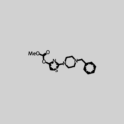 COC(=O)Oc1csc(N2CCN(Cc3ccccc3)CC2)n1